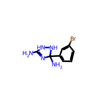 NC1=NC(N)(c2cccc(Br)c2)NN1